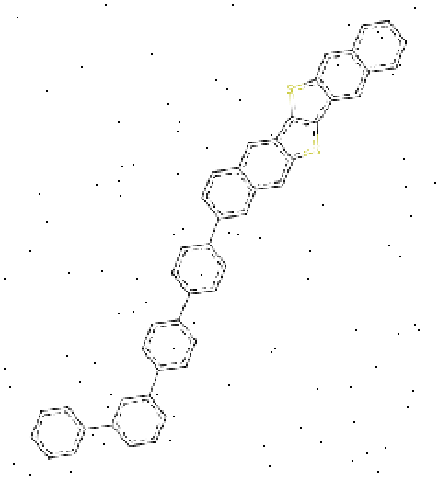 c1ccc(-c2cccc(-c3ccc(-c4ccc(-c5ccc6cc7c(cc6c5)sc5c6cc8ccccc8cc6sc75)cc4)cc3)c2)cc1